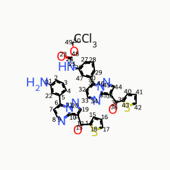 Nc1cccc(-c2ccnc3c(C(=O)c4cccs4)cnn23)c1.O=C(Nc1cccc(-c2ccnc3c(C(=O)c4cccs4)cnn23)c1)OCC(Cl)(Cl)Cl